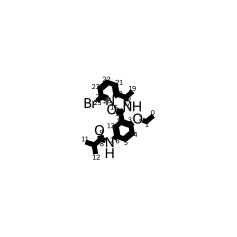 CCOc1ccc(NC(=O)C(C)C)cc1C(=O)NC(C)c1cccc(Br)n1